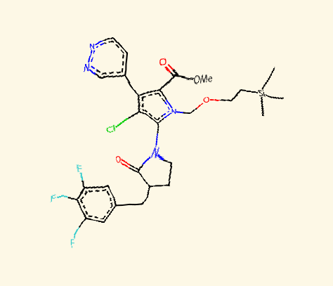 COC(=O)c1c(-c2ccnnc2)c(Cl)c(N2CCC(Cc3cc(F)c(F)c(F)c3)C2=O)n1COCC[Si](C)(C)C